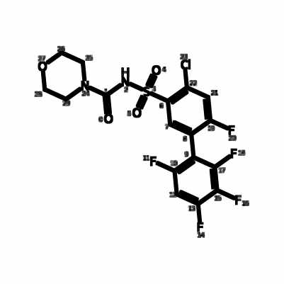 O=C(NS(=O)(=O)c1cc(-c2c(F)cc(F)c(F)c2F)c(F)cc1Cl)N1CCOCC1